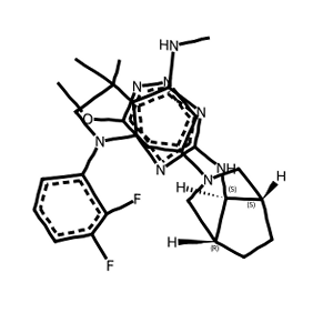 CNc1nc(N[C@@H]2[C@@H]3CC[C@H]2CN(c2cnnc(OC)c2)C3)nc2c1C(C)(C)CN2c1cccc(F)c1F